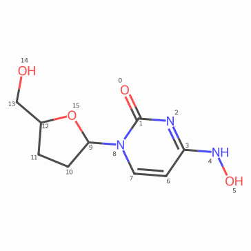 O=c1nc(NO)ccn1C1CCC(CO)O1